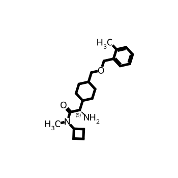 Cc1ccccc1COCC1CCC([C@H](N)C(=O)N(C)C2CCC2)CC1